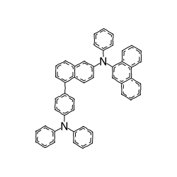 c1ccc(N(c2ccccc2)c2ccc(-c3cccc4cc(N(c5ccccc5)c5cc6ccccc6c6ccccc56)ccc34)cc2)cc1